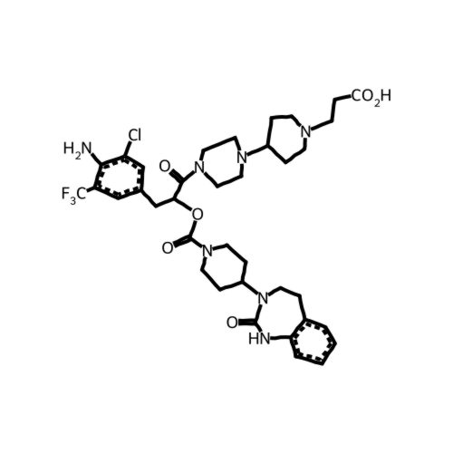 Nc1c(Cl)cc(CC(OC(=O)N2CCC(N3CCc4ccccc4NC3=O)CC2)C(=O)N2CCN(C3CCN(CCC(=O)O)CC3)CC2)cc1C(F)(F)F